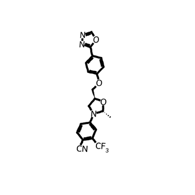 C[C@H]1O[C@H](COc2ccc(-c3nnco3)cc2)CN1c1ccc(C#N)c(C(F)(F)F)c1